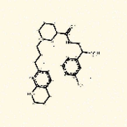 O=C(O)C(CNC(=O)[C@@H]1CCCN(CCCc2ccc3c(n2)NCCC3)C1)c1cccc(C(F)(F)F)c1